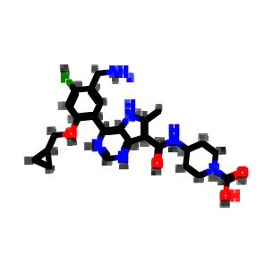 Cc1[nH]c2c(-c3cc(CN)c(F)cc3OCC3CC3)ncnc2c1C(=O)NC1CCN(C(=O)O)CC1